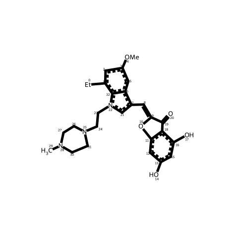 CCc1cc(OC)cc2c(C=C3Oc4cc(O)cc(O)c4C3=O)cn(CCN3CCN(C)CC3)c12